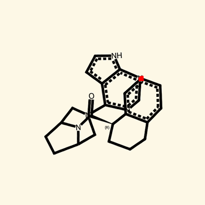 O=C([C@@H]1CCCc2ccccc21)N1C2CCC1CN(c1ncnc3[nH]ccc13)C2